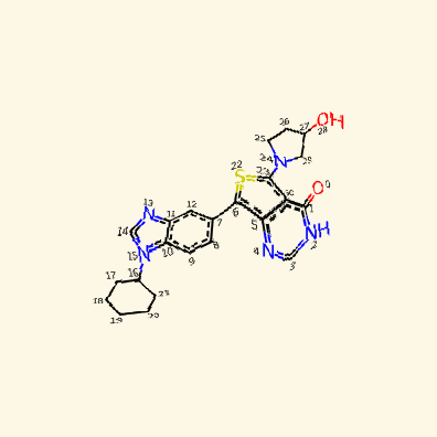 O=c1[nH]cnc2c(-c3ccc4c(c3)ncn4C3CCCCC3)sc(N3CCC(O)C3)c12